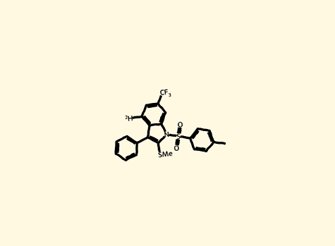 [2H]c1cc(C(F)(F)F)cc2c1c(-c1ccccc1)c(SC)n2S(=O)(=O)c1ccc(C)cc1